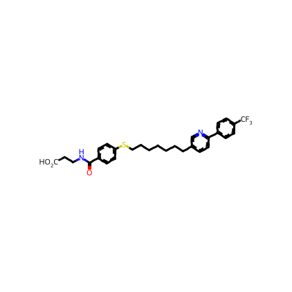 O=C(O)CCNC(=O)c1ccc(SCCCCCCCc2ccc(-c3ccc(C(F)(F)F)cc3)nc2)cc1